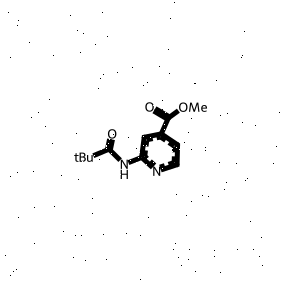 COC(=O)c1ccnc(NC(=O)C(C)(C)C)c1